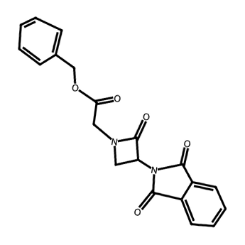 O=C(CN1CC(N2C(=O)c3ccccc3C2=O)C1=O)OCc1ccccc1